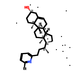 CCc1cccc(CC[C@@H](C)[C@H]2CC[C@H]3[C@@H]4CC=C5C[C@@H](O)CC[C@]5(C)[C@H]4CC[C@]23C)n1